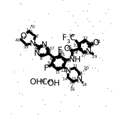 C[C@@H]1CN(c2ncc(-c3c(F)cc(N4C[C@@H](C)N(C)[C@@H](C)C4)c(NC(=O)c4cn(C)c(=O)cc4C(F)(F)F)c3F)cn2)CCO1.O=CO